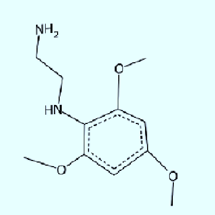 COc1cc(OC)c(NCCN)c(OC)c1